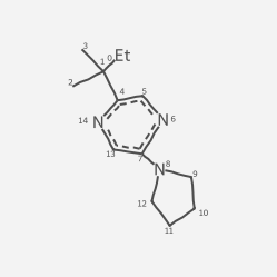 CCC(C)(C)c1cnc(N2CCCC2)cn1